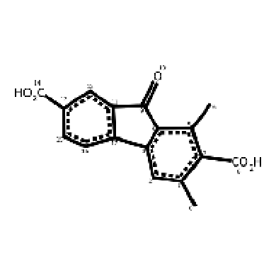 Cc1cc2c(c(C)c1C(=O)O)C(=O)c1cc(C(=O)O)ccc1-2